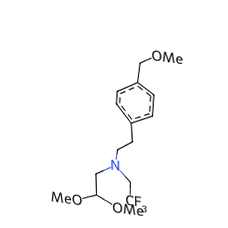 COCc1ccc(CCN(CC(OC)OC)CC(F)(F)F)cc1